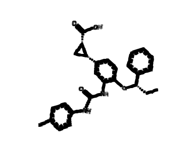 CC[C@H](Oc1ccc([C@@H]2C[C@@H]2C(=O)O)cc1NC(=O)Nc1ccc(C)cc1)c1ccccc1